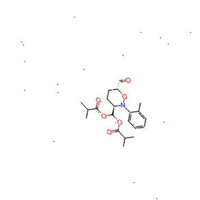 Cc1ccccc1N1O[C@@H](C=O)CC[C@@H]1C(OC(=O)C(C)C)OC(=O)C(C)C